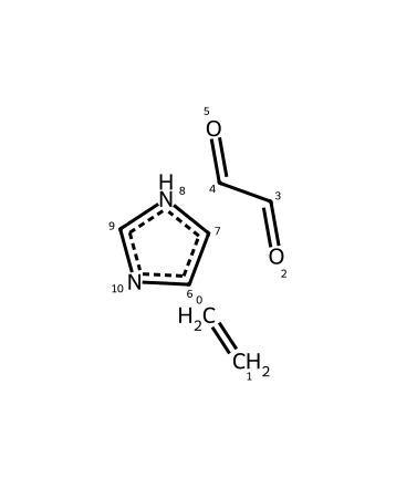 C=C.O=CC=O.c1c[nH]cn1